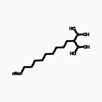 CCCCCCCCCCCCCCCCCCC(B(O)O)B(O)O